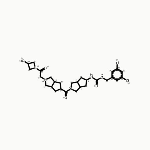 O=C(NC1CC2CN(C(=O)C3CC4CN(CC(=O)N5CC(O)C5)CC4C3)CC2C1)OCc1cc(Cl)cc(Cl)c1